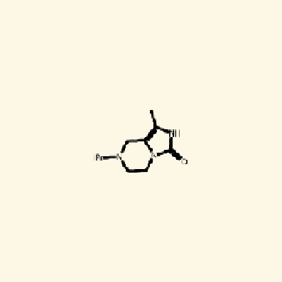 Cc1[nH]c(=O)n2c1CN(C(C)C)CC2